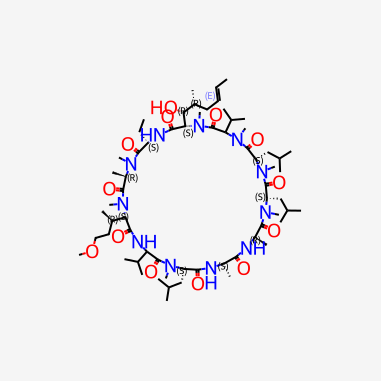 C/C=C/C[C@@H](C)[C@@H](O)[C@H]1C(=O)N[C@@H](CC)C(=O)N(C)[C@H](C)C(=O)N(C)[C@@H]([C@H](C)CCOC)C(=O)NC(C(C)C)C(=O)N(C)[C@@H](CC(C)C)C(=O)N[C@@H](C)C(=O)N[C@H](C)C(=O)N(C)[C@@H](CC(C)C)C(=O)N(C)[C@@H](CC(C)C)C(=O)N(C)C(C(C)C)C(=O)N1C